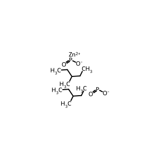 CCC(C)CC.CCC(C)CC.O=P[O-].O=P[O-].[Zn+2]